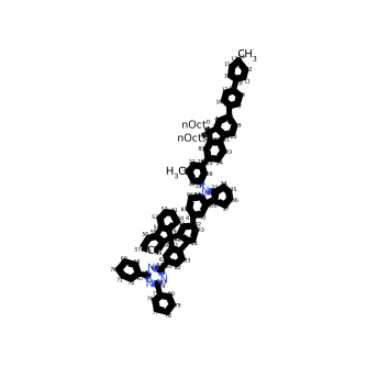 CCCCCCCCC1(CCCCCCCC)c2cc(-c3ccc(-c4ccc(C)cc4)cc3)ccc2-c2ccc(-c3cc(C)cc(-n4c5ccccc5c5cc(-c6ccc7c(c6)C6(c8ccccc8-c8ccccc86)c6cc(-c8nc(-c9ccccc9)nc(-c9ccccc9)n8)ccc6-7)ccc54)c3)cc21